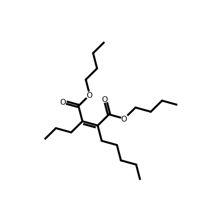 CCCCC/C(C(=O)OCCCC)=C(\CCC)C(=O)OCCCC